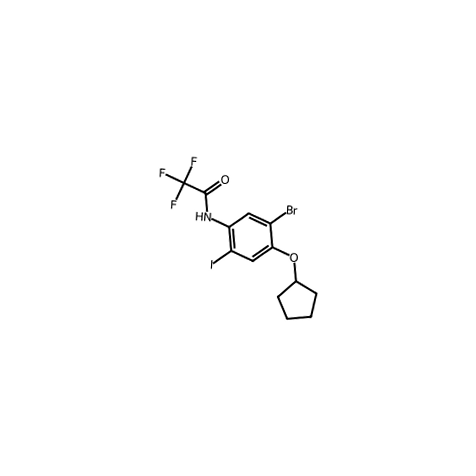 O=C(Nc1cc(Br)c(OC2CCCC2)cc1I)C(F)(F)F